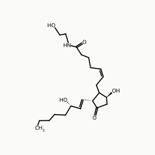 CCCCC[C@H](O)/C=C/[C@H]1C(=O)C[C@H](O)C1C/C=C\CCCC(=O)NCCO